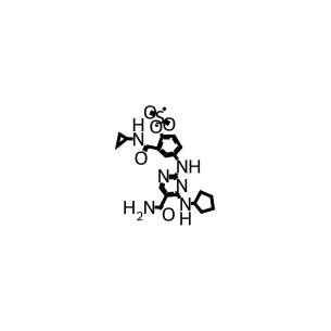 CS(=O)(=O)Oc1ccc(Nc2ncc(C(N)=O)c(NC3CCCC3)n2)cc1C(=O)NC1CC1